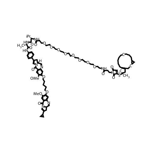 COc1cc2c(cc1OCCCCCOc1cc3c(cc1OC)C(=O)N1C=C(c4ccc(NC(=O)[C@@H](C)NC(=O)[C@H](NC(=O)CCOCCOCCOCCOCCOCCOCCOCCOCCNC(=O)CCN5C(=O)CC(SC(C)(C)C/C6=C/CCCCCCCCCC7CC7CC6)C5=O)C(C)C)cc4)C[C@@H]1C=N3)N=CC1CC(C3CC3)=CN1C2=O